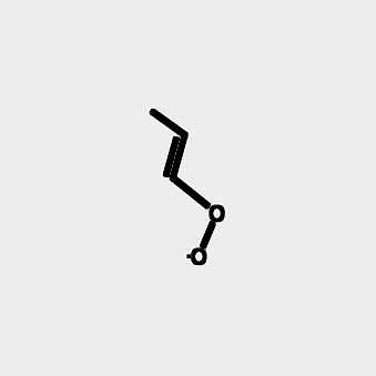 CC=CO[O]